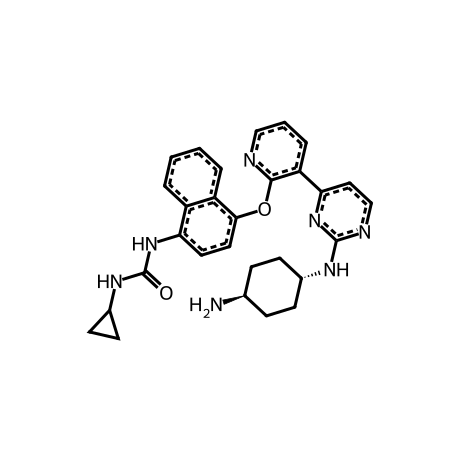 N[C@H]1CC[C@H](Nc2nccc(-c3cccnc3Oc3ccc(NC(=O)NC4CC4)c4ccccc34)n2)CC1